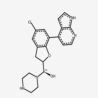 O[C@H](C1Cc2cc(Cl)cc(-c3ccnc4[nH]ccc34)c2O1)N1CCNCC1